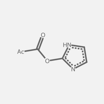 CC(=O)C(=O)Oc1ncc[nH]1